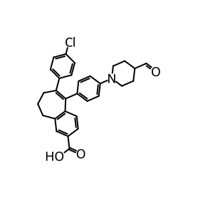 O=CC1CCN(c2ccc(C3=C(c4ccc(Cl)cc4)CCCc4cc(C(=O)O)ccc43)cc2)CC1